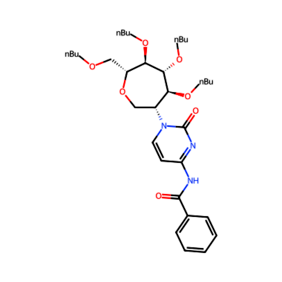 CCCCOC[C@H]1OC[C@@H](n2ccc(NC(=O)c3ccccc3)nc2=O)[C@H](OCCCC)[C@@H](OCCCC)[C@@H]1OCCCC